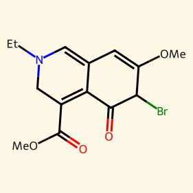 CCN1C=C2C=C(OC)C(Br)C(=O)C2=C(C(=O)OC)C1